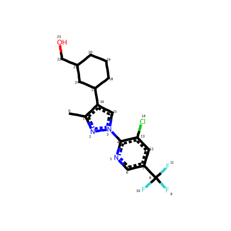 Cc1nn(-c2ncc(C(F)(F)F)cc2Cl)cc1C1CCCC(CO)C1